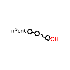 CCCCCc1ccc(-c2ccc(CCc3ccc(O)cc3)cc2)cc1